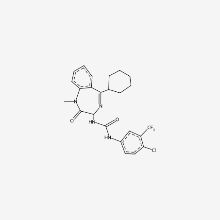 CN1C(=O)C(NC(=O)Nc2ccc(Cl)c(C(F)(F)F)c2)N=C(C2CCCCC2)c2ccccc21